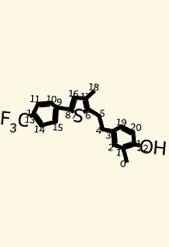 Cc1cc(CCc2sc(-c3ccc(C(F)(F)F)cc3)cc2C)ccc1O